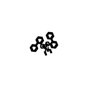 CCN(CC)P(Oc1ccccc1-c1ccccc1)Oc1ccccc1-c1ccccc1